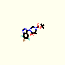 CC1(O)CN(C(=O)OC(C)(C)C)CCN(c2ncnc3c(F)c(Br)c(F)cc23)C1